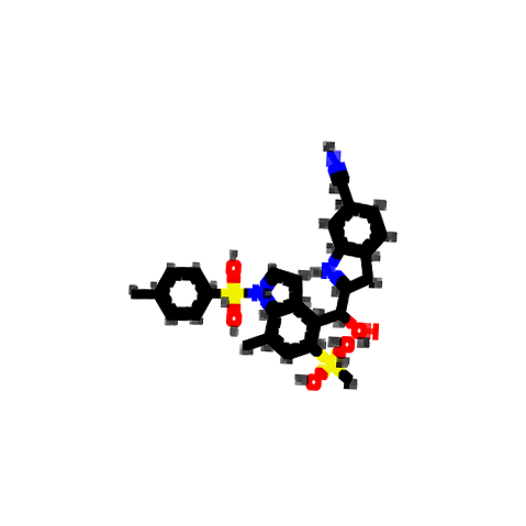 Cc1ccc(S(=O)(=O)n2ccc3c(C(O)C4=Nc5cc(C#N)ccc5C4)c(S(C)(=O)=O)cc(C)c32)cc1